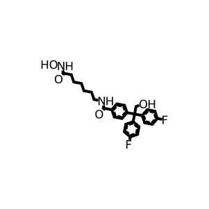 O=C(CCCCCCNC(=O)c1ccc(C(CO)(c2ccc(F)cc2)c2ccc(F)cc2)cc1)NO